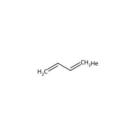 C=CC=C.[He]